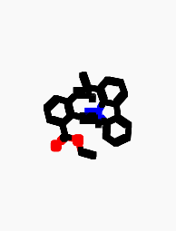 C=COC(=O)c1cccc([N+](=O)[O-])c1[N+](=O)[O-].C=Cc1cccc2c1[nH]c1ccccc12